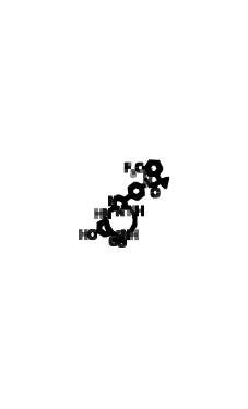 O=C(Nc1ccc(-c2cnc3nc2NCCCNS(=O)(=O)c2cc(O)cc(c2)N3)cc1)C1(c2cccc(C(F)(F)F)c2)CC1